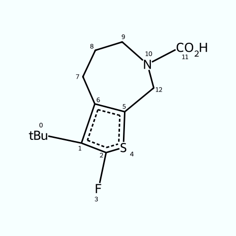 CC(C)(C)c1c(F)sc2c1CCCN(C(=O)O)C2